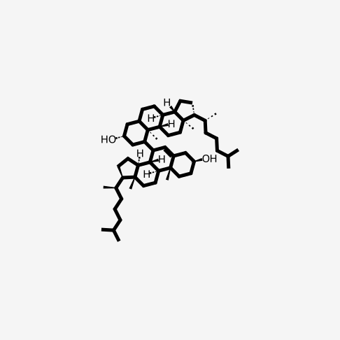 CC(C)CCC[C@@H](C)[C@H]1CC[C@H]2[C@@H]3CCC4C[C@@H](O)CC(C5C=C6C[C@@H](O)CC[C@]6(C)[C@H]6CC[C@]7(C)[C@@H]([C@H](C)CCCC(C)C)CC[C@H]7[C@H]56)[C@]4(C)[C@H]3CC[C@]12C